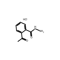 CC(=O)c1ccccc1C(=O)NN.Cl